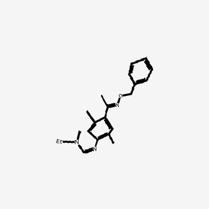 CCN(C)/C=N\c1cc(C)c(/C(C)=N/OCc2ccccc2)cc1C